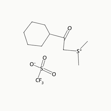 C[S+](C)CC(=O)C1CCCCC1.O=S(=O)([O-])C(F)(F)F